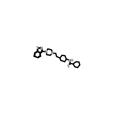 S=C(NC1CCC(CCN2CCN(c3nsc4ccccc34)CC2)CC1)C1CCCCC1